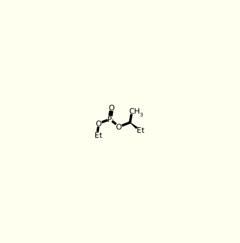 CCO[P](=O)O[C@@H](C)CC